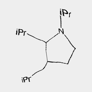 CC(C)C1CCN(C(C)C)C1C(C)C